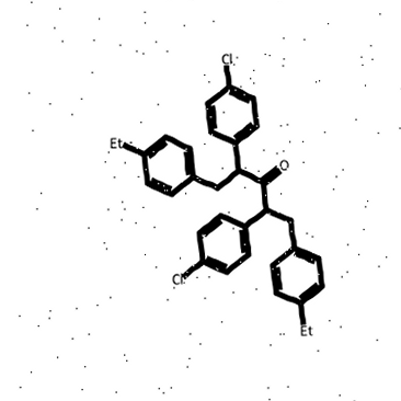 CCc1ccc(CC(C(=O)C(Cc2ccc(CC)cc2)c2ccc(Cl)cc2)c2ccc(Cl)cc2)cc1